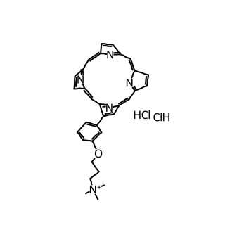 C[N+](C)(C)CCCOc1cccc(C2=CC3=CC4=NC(=CC5=NC(=CC6=NC(=CC2=N3)C=C6)C=C5)C=C4)c1.Cl.Cl